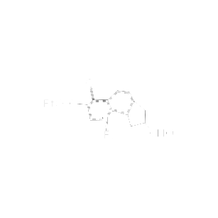 CCOC(=O)c1cn(CC)c2c3c(ccc2c1=O)CC(C=O)C3